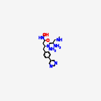 CNC/C(N)=C/N(N)C(CC(=O)NO)Cc1ccc(-c2cncnc2)cc1